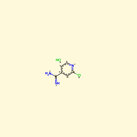 Cl.N=C(N)c1ccnc(Cl)c1